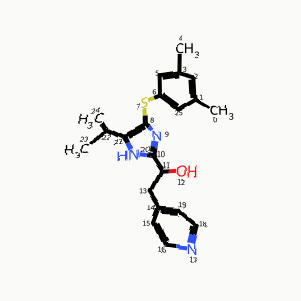 Cc1cc(C)cc(Sc2nc(C(O)Cc3ccncc3)[nH]c2C(C)C)c1